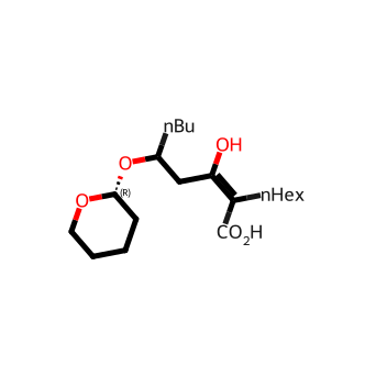 CCCCCCC(C(=O)O)=C(O)CC(CCCC)O[C@@H]1CCCCO1